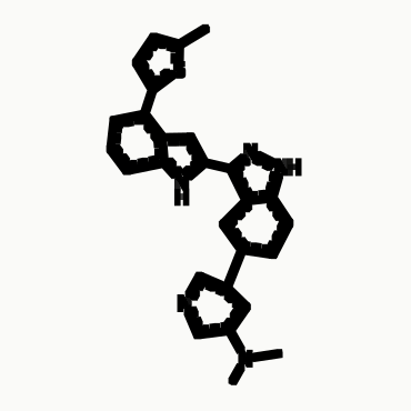 Cc1ccc(-c2cccc3[nH]c(-c4n[nH]c5ccc(-c6cncc(N(C)C)c6)cc45)cc23)s1